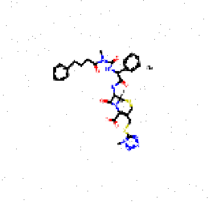 CN(C(=O)CCCc1ccccc1)C(=O)NC(C(=O)NC1C(=O)N2C(C(=O)[O-])=C(CSc3nnnn3C)CS[C@@H]12)c1ccccc1.[Na+]